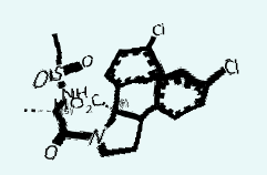 C[C@H](NS(C)(=O)=O)C(=O)N1CCC(c2ccc(Cl)cc2)[C@]1(C(=O)O)c1ccc(Cl)cc1